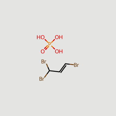 BrC=CC(Br)Br.O=P(O)(O)O